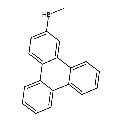 CBc1ccc2c3ccccc3c3ccccc3c2c1